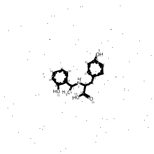 CC(NC(Cc1ccc(O)cc1)C(=O)O)c1ccccc1O